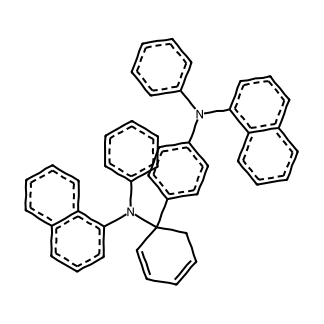 C1=CCC(c2ccc(N(c3ccccc3)c3cccc4ccccc34)cc2)(N(c2ccccc2)c2cccc3ccccc23)C=C1